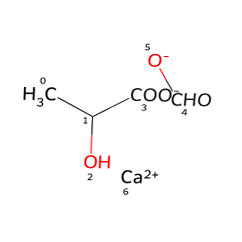 CC(O)C(=O)[O-].O=C[O-].[Ca+2]